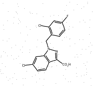 O=C(O)c1nn(Cc2ccc(F)cc2Cl)c2cc(Cl)ccc12